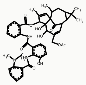 CC(=O)OCC1=CC2C(=O)C3(C=C(C)C(OC(=O)c4ccccc4NC(=O)c4cccc(O)c4NC(=O)c4ccccc4N(C)C)C3(O)C1O)C(C)CC1C2C1(C)C